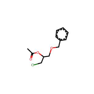 CC(=O)OC(CCl)COCc1ccccc1